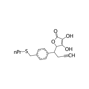 C#CCC(c1ccc(CSCCC)cc1)C1OC(=O)C(O)=C1O